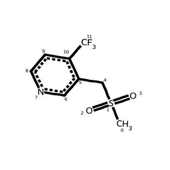 CS(=O)(=O)Cc1cnccc1C(F)(F)F